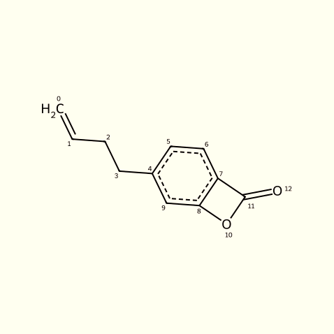 C=CCCc1ccc2c(c1)OC2=O